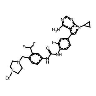 CCN1CCN(Cc2ccc(NC(=O)Nc3ccc(-c4cn(C5CC5)c5ncnc(N)c45)cc3F)cc2C(F)F)CC1